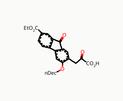 CCCCCCCCCCOc1cc2c(cc1CC(=O)C(=O)O)C(=O)c1cc(C(=O)OCC)ccc1-2